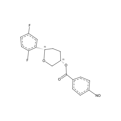 O=Nc1ccc(C(=O)O[C@H]2CC[C@@H](c3cc(F)ccc3F)OC2)cc1